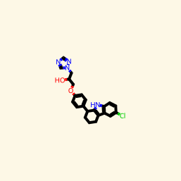 OC(COc1ccc(C2CCCc3c2[nH]c2ccc(Cl)cc32)cc1)Cn1cncn1